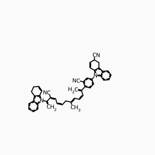 C=C(/C=C\C=C(/C)C/C=C\C=C(\C#N)C(=C)n1c2c(c3ccccc31)CCC=C2)c1ccc(-n2c3c(c4ccccc42)CC(C#N)C=C3)cc1C#N